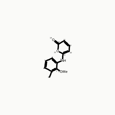 COc1c(C)cccc1Nc1cccc(=O)o1